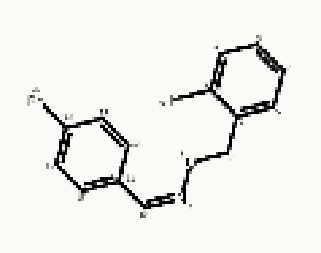 Fc1ccccc1CO/N=[C]\c1ccc(Br)cc1